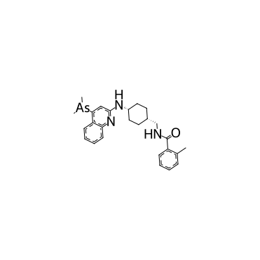 Cc1ccccc1C(=O)NC[C@H]1CC[C@@H](Nc2cc([As](C)C)c3ccccc3n2)CC1